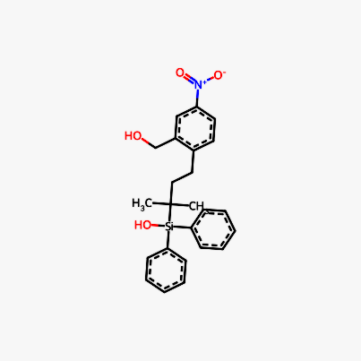 CC(C)(CCc1ccc([N+](=O)[O-])cc1CO)[Si](O)(c1ccccc1)c1ccccc1